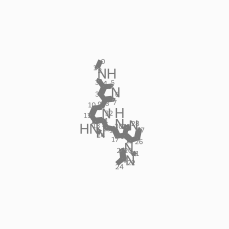 CCNCc1cncc(-c2ccc3[nH]nc(-c4cc5c(-n6cnc(C)c6)ccnc5[nH]4)c3n2)c1